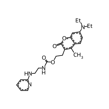 CCN(CC)c1ccc2c(C)c(CCOC(=O)NCCNc3ccccn3)c(=O)oc2c1